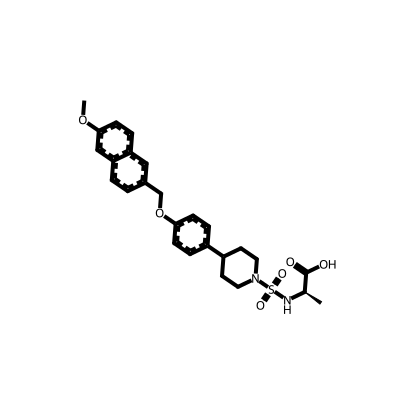 COc1ccc2cc(COc3ccc(C4CCN(S(=O)(=O)N[C@H](C)C(=O)O)CC4)cc3)ccc2c1